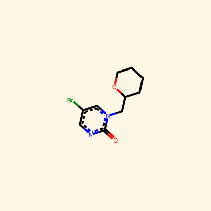 O=c1ncc(Br)cn1CC1CCCCO1